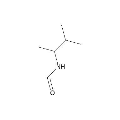 CC(C)C(C)NC=O